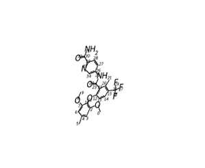 COc1cc(C)cc(OC)c1Oc1ccc(C(F)(F)F)c(C)c1C(=O)Nc1ccc(C(N)=O)nc1